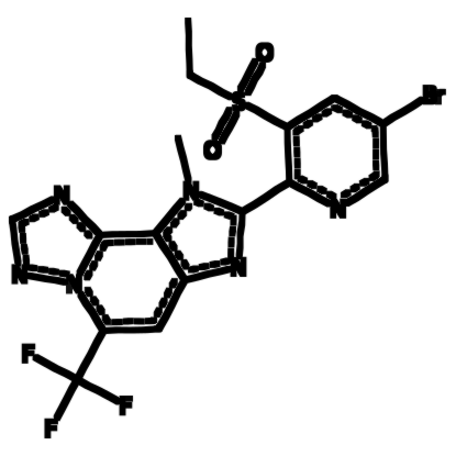 CCS(=O)(=O)c1cc(Br)cnc1-c1nc2cc(C(F)(F)F)n3ncnc3c2n1C